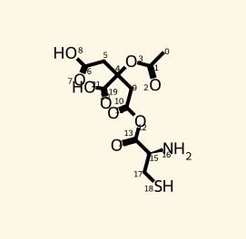 CC(=O)OC(CC(=O)O)(CC(=O)OC(=O)[C@@H](N)CS)C(=O)O